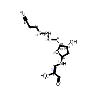 C/C(C=O)=C/NC1C[C@@H](O)[C@@H](COPSCCC#N)O1